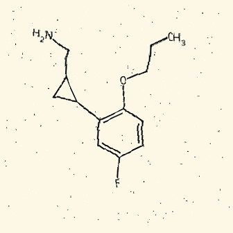 CCCOc1ccc(F)cc1C1CC1CN